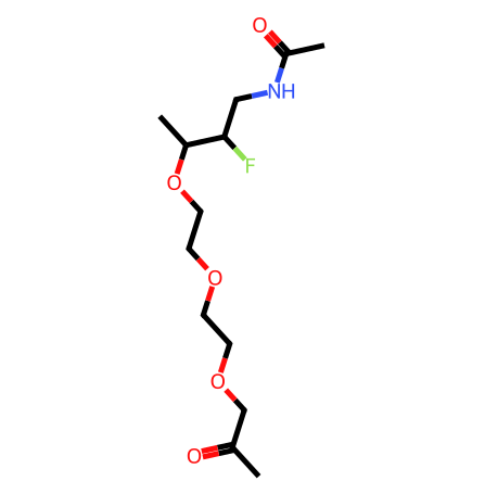 CC(=O)COCCOCCOC(C)C(F)CNC(C)=O